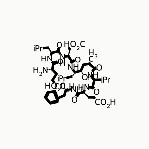 CC(C)C[C@H](NC(=O)[C@@H](N)CCC(=O)O)C(=O)N[C@@H](CC(=O)O)C(=O)N[C@@H](CC(C)C)[C@@H](O)C[C@@H](C)C(=O)NC(C(=O)N[C@@H](CCC(=O)O)C(=O)N[C@@H](Cc1ccccc1)C(=O)O)C(C)C